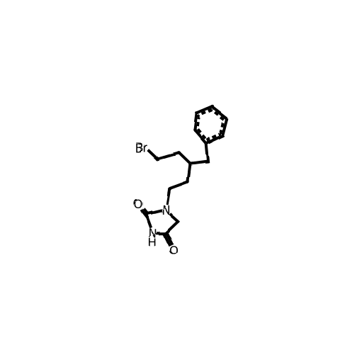 O=C1CN(CCC(CCBr)Cc2ccccc2)C(=O)N1